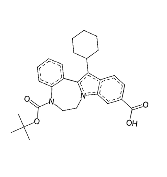 CC(C)(C)OC(=O)N1CCn2c(c(C3CCCCC3)c3ccc(C(=O)O)cc32)-c2ccccc21